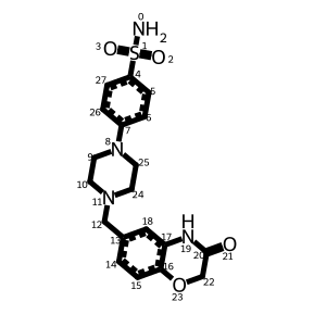 NS(=O)(=O)c1ccc(N2CCN(Cc3ccc4c(c3)NC(=O)CO4)CC2)cc1